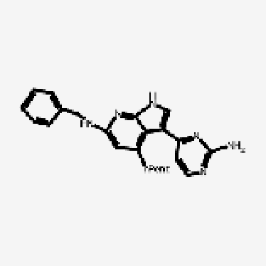 CCCCCc1cc(NCc2ccccc2)nc2[nH]cc(-c3ccnc(N)n3)c12